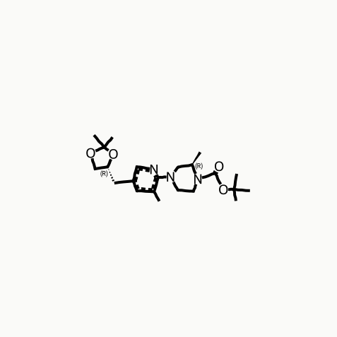 Cc1cc(C[C@@H]2COC(C)(C)O2)cnc1N1CCN(C(=O)OC(C)(C)C)[C@H](C)C1